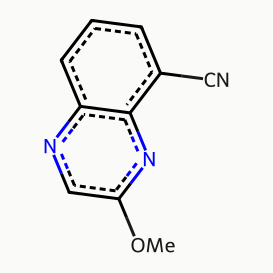 COc1cnc2cccc(C#N)c2n1